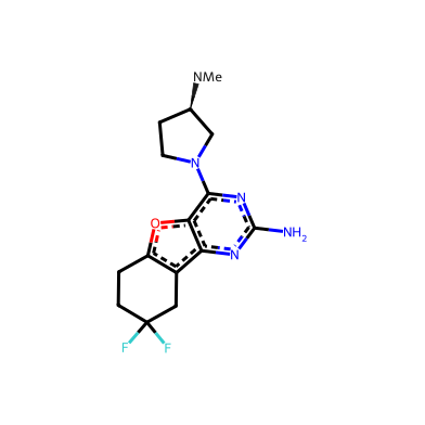 CN[C@@H]1CCN(c2nc(N)nc3c4c(oc23)CCC(F)(F)C4)C1